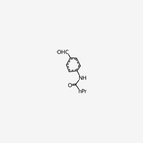 CCCC(=O)Nc1ccc([C]=O)cc1